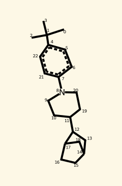 CC(C)(C)c1ccc(N2CCC(C3CC4CCC3C4)CC2)cc1